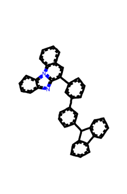 c1cc(-c2cccc(C3c4ccccc4-c4ccccc43)c2)cc(-c2cc3ccccc3n3c2nc2ccccc23)c1